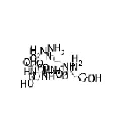 NC(N)=NCCC[C@H](NC(=O)[C@@H](N)Cc1ccc(O)cc1)C(=O)NCC(=O)N[C@@H](CC(=O)O)C(=O)N[C@@H](CO)C(=O)O